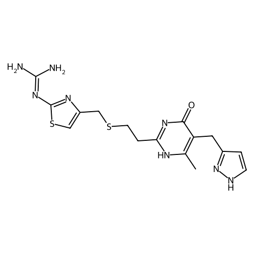 Cc1[nH]c(CCSCc2csc(N=C(N)N)n2)nc(=O)c1Cc1cc[nH]n1